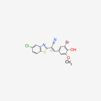 COc1cc(/C=C(\C#N)c2nc3cc(Cl)ccc3s2)cc(Br)c1O